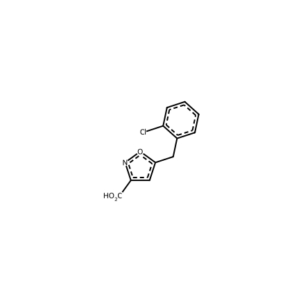 O=C(O)c1cc(Cc2ccccc2Cl)on1